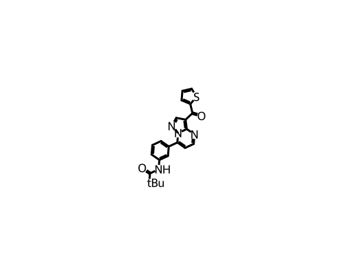 CC(C)(C)C(=O)Nc1cccc(-c2ccnc3c(C(=O)c4cccs4)cnn23)c1